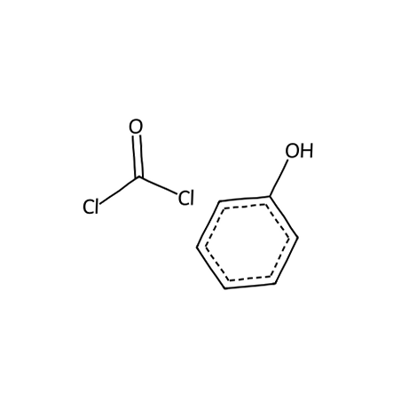 O=C(Cl)Cl.Oc1ccccc1